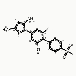 CS(=O)(=O)c1ccc(-c2c(Cl)cc(-n3nc(N)nc3N)cc2Cl)cc1